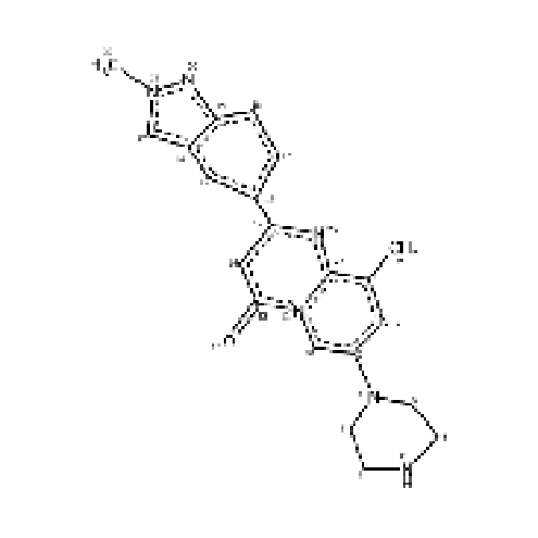 Cc1nc(N2CCNCC2)cn2c(=O)cc(-c3ccc4nn(C)cc4c3)nc12